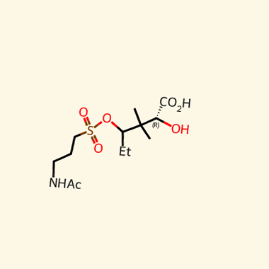 CCC(OS(=O)(=O)CCCNC(C)=O)C(C)(C)[C@@H](O)C(=O)O